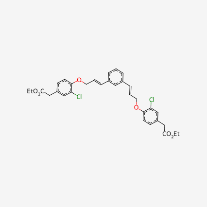 CCOC(=O)Cc1ccc(OC/C=C/c2cccc(/C=C/COc3ccc(CC(=O)OCC)cc3Cl)c2)c(Cl)c1